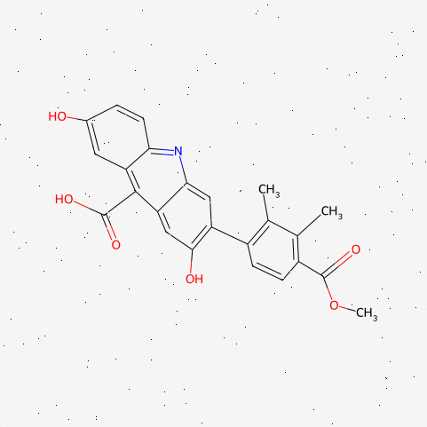 COC(=O)c1ccc(-c2cc3nc4ccc(O)cc4c(C(=O)O)c3cc2O)c(C)c1C